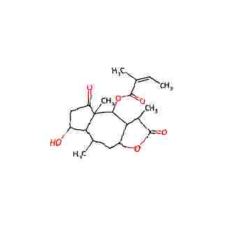 C/C=C(/C)C(=O)OC1C2C(CC(C)C3C(O)CC(=O)C13C)OC(=O)C2C